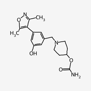 Cc1noc(C)c1-c1cc(O)cc(CN2CCC(OC(N)=O)CC2)c1